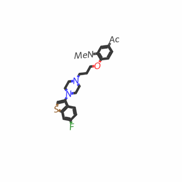 CNc1cc(C(C)=O)ccc1OCCCN1CCN(c2csc3cc(F)ccc23)CC1